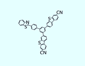 N#Cc1ccc2c(c1)sc1cc(-c3cc(-c4ccc(-c5nc6ccccc6s5)cc4)cc(-c4ccc5c(c4)sc4cc(C#N)ccc45)c3)ccc12